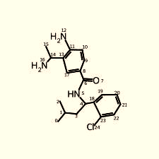 CC(C)CC(NC(=O)c1ccc(N)c(C(C)N)c1)c1ccccc1Cl